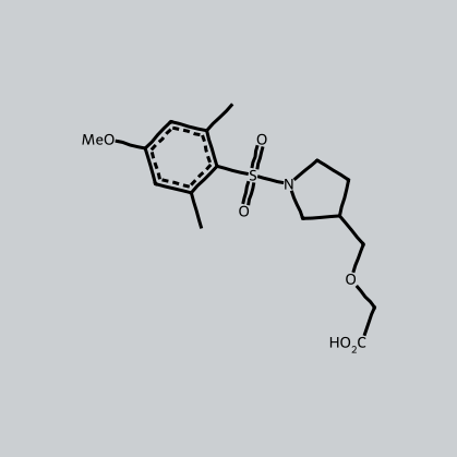 COc1cc(C)c(S(=O)(=O)N2CCC(COCC(=O)O)C2)c(C)c1